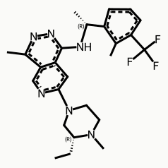 CC[C@@H]1CN(c2cc3c(N[C@H](C)c4cccc(C(F)(F)F)c4C)nnc(C)c3cn2)CCN1C